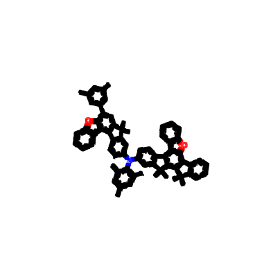 Cc1cc(C)cc(-c2cc3c(c4c2oc2ccccc24)-c2ccc(N(c4ccc5c(c4)C(C)(C)c4c6c(c7oc8ccccc8c7c4-5)-c4ccccc4C6(C)C)c4c(C)cc(C)cc4C)cc2C3(C)C)c1